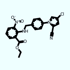 CCOC(=O)c1cccc([N+](=O)[O-])c1NCc1ccc(-n2cc(Cl)cc2C#N)cc1